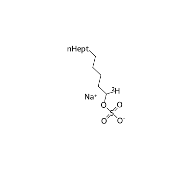 [2H]C(CCCCCCCCCCC)OS(=O)(=O)[O-].[Na+]